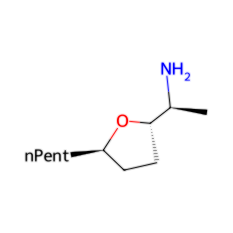 CCCCC[C@@H]1CC[C@@H]([C@H](C)N)O1